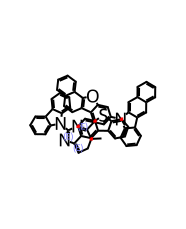 CC1C/C=C(c2ccc3sc4ccccc4c3c2)/N=C(n2c3ccccc3c3ccccc32)\N=C/1c1cc(-n2c3ccccc3c3cc4ccccc4cc32)cc2oc3c4ccccc4ccc3c12